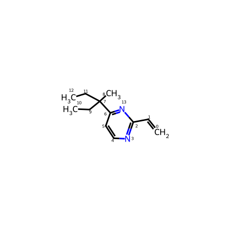 C=Cc1nccc(C(C)(CC)CC)n1